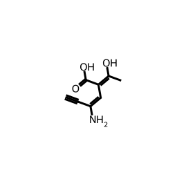 C#C/C(N)=C\C(C(=O)O)=C(/C)O